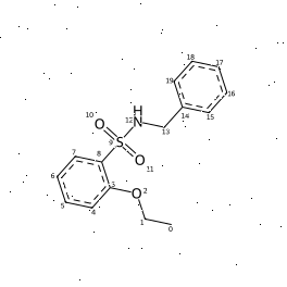 CCOc1ccccc1S(=O)(=O)NCc1ccccc1